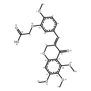 COc1ccc(/C=C2\COc3cc(OC)c(OC)c(OC)c3C2=O)cc1OCC(=O)O